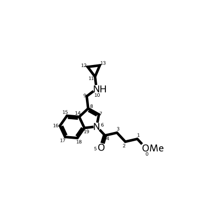 COCCCC(=O)n1cc(CNC2CC2)c2ccccc21